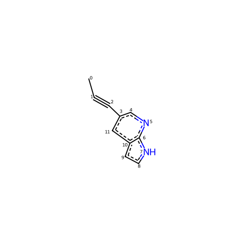 CC#Cc1cnc2[nH]ccc2c1